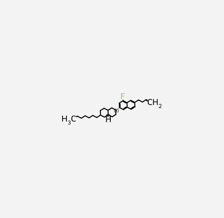 C=CCCc1ccc2cc([C@@H]3CC[C@@H]4CC(CCCCCCC)CCC4C3)cc(F)c2c1